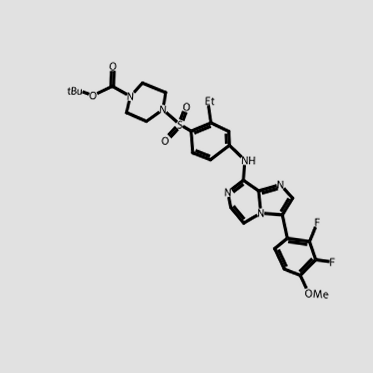 CCc1cc(Nc2nccn3c(-c4ccc(OC)c(F)c4F)cnc23)ccc1S(=O)(=O)N1CCN(C(=O)OC(C)(C)C)CC1